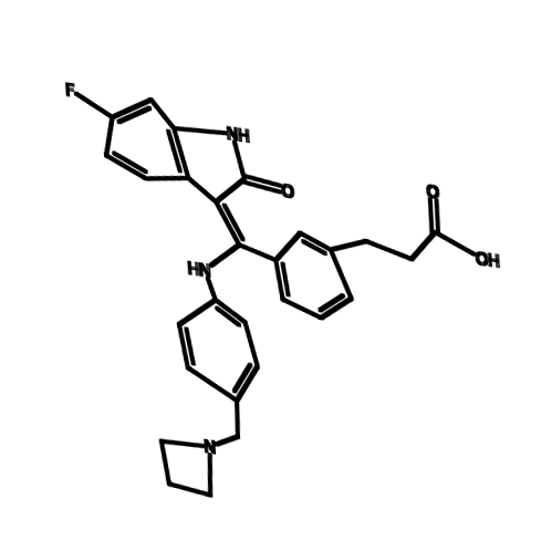 O=C(O)CCc1cccc(C(Nc2ccc(CN3CCC3)cc2)=C2C(=O)Nc3cc(F)ccc32)c1